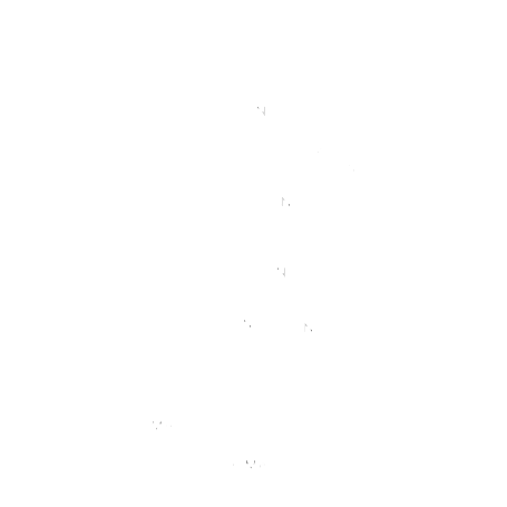 COc1cc2cnc(N3CCN(C(C(=O)C4CCCCC4)C4CCc5ccccc5N4)CC3)nc2cc1OC